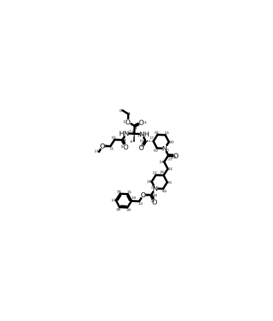 CCOC(=O)[C@@](C)(NC(=O)CCOC)NC(=O)[C@@H]1CCCN(C(=O)CCC2CCN(C(=O)OCc3ccccc3)CC2)C1